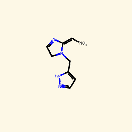 O=[N+]([O-])C=C1N=CCN1Cc1ccn[nH]1